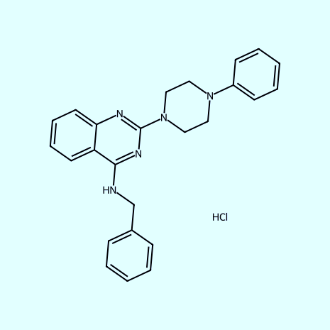 Cl.c1ccc(CNc2nc(N3CCN(c4ccccc4)CC3)nc3ccccc23)cc1